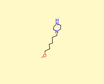 COCCCCCCN1CCNCC1